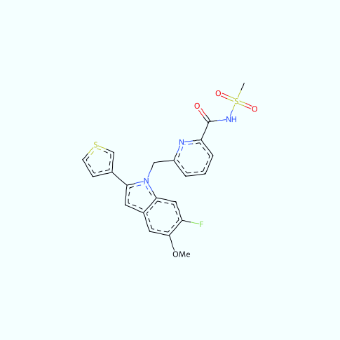 COc1cc2cc(-c3ccsc3)n(Cc3cccc(C(=O)NS(C)(=O)=O)n3)c2cc1F